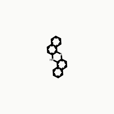 c1ccc2c3c(ccc2c1)Sc1c(ccc2ccccc12)N3